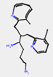 Cc1cccnc1CC(Cc1ncccc1C)C(N)CCCN